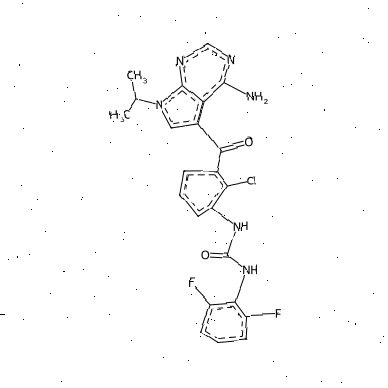 CC(C)n1cc(C(=O)c2cccc(NC(=O)Nc3c(F)cccc3F)c2Cl)c2c(N)ncnc21